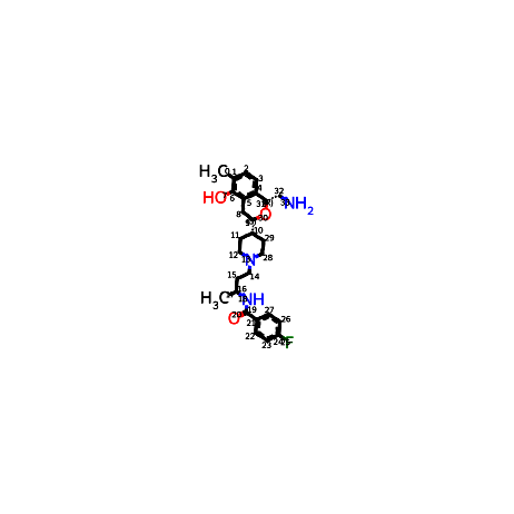 Cc1ccc2c(c1O)C[C@@H](C1CCN(CCC(C)NC(=O)c3ccc(F)cc3)CC1)O[C@H]2CN